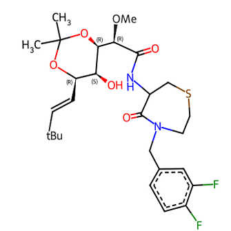 CO[C@@H](C(=O)NC1CSCCN(Cc2ccc(F)c(F)c2)C1=O)[C@@H]1OC(C)(C)O[C@H](C=CC(C)(C)C)[C@@H]1O